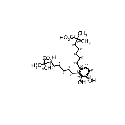 CC(C)(CCCCCCc1c(CCCCCC(C)(C)C(=O)O)ccc(O)c1O)C(=O)O